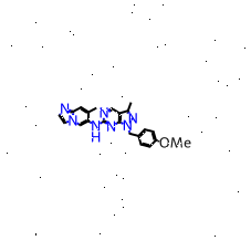 COc1ccc(Cn2nc(C)c3cnc(Nc4cn5ccnc5cc4C)nc32)cc1